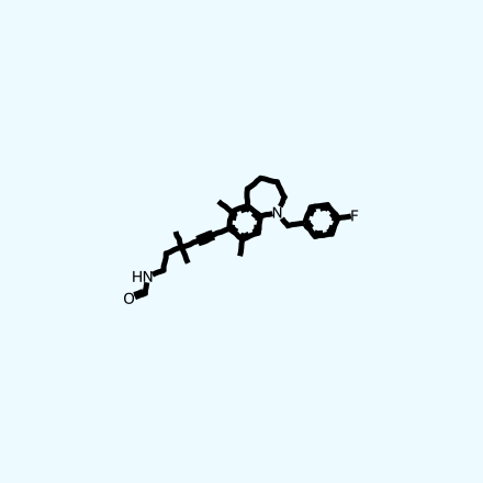 Cc1cc2c(c(C)c1C#CC(C)(C)CCNC=O)CCCCN2Cc1ccc(F)cc1